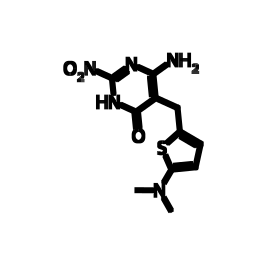 CN(C)c1ccc(Cc2c(N)nc([N+](=O)[O-])[nH]c2=O)s1